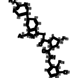 CC(=O)c1nn(CC(=O)N2C[C@H](F)C[C@H]2C(=O)NCc2cccc(Cl)c2F)c2ccc(-c3cnc(C)nc3)cc12